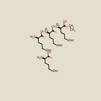 C=C(CCCCCCCCCCCCC)C(O)=S.C=C(CCCCCCCCCCCCC)C(O)=S.C=C(CCCCCCCCCCCCC)C(O)=S.C=C(CCCCCCCCCCCCC)C(O)=S.CC